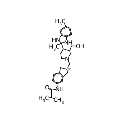 Cc1ccc2c(c1)NC(C)(C1CCN(C[C@@H]3Cc4ccc(NC(=O)C(C)C)cc4C3)CC1CO)N2